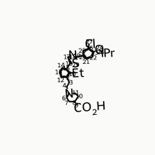 CCc1c(CCN2CCC(C(=O)O)CC2)cccc1-c1cnc(-c2ccc(OC(C)C)c(Cl)c2)s1